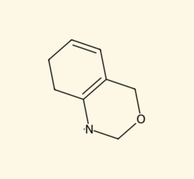 C1=CC2=C(CC1)[N]COC2